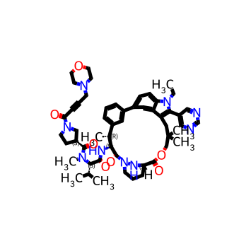 CCn1c(-c2cncnc2)c2c3cc(ccc31)-c1cccc(c1)[C@@H](C)[C@H](NC(=O)[C@H](C(C)C)N(C)C(=O)[C@H]1CCN(C(=O)C#CCN3CCOCC3)C1)C(=O)N1CCC[C@H](N1)C(=O)OCC(C)(C)C2